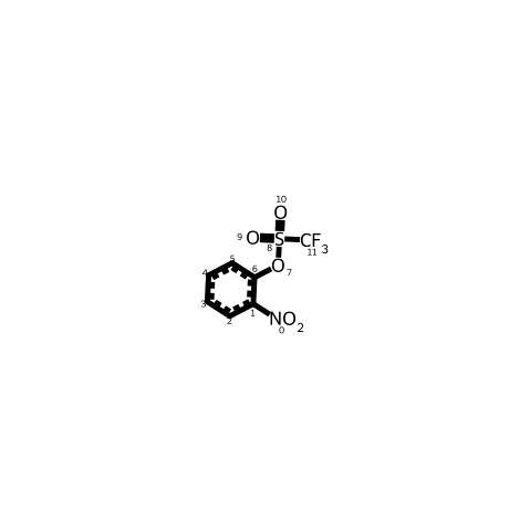 O=[N+]([O-])c1ccccc1OS(=O)(=O)C(F)(F)F